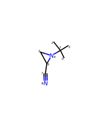 CC(C)(C)N1CC1C#N